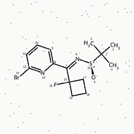 CC(C)(C)[S@@+]([O-])N=C(c1cccc(Br)n1)C1(F)CCC1